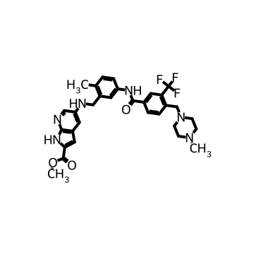 COC(=O)c1cc2cc(NCc3cc(NC(=O)c4ccc(CN5CCN(C)CC5)c(C(F)(F)F)c4)ccc3C)cnc2[nH]1